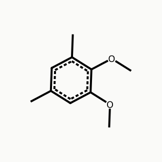 COc1cc(C)cc(C)c1OC